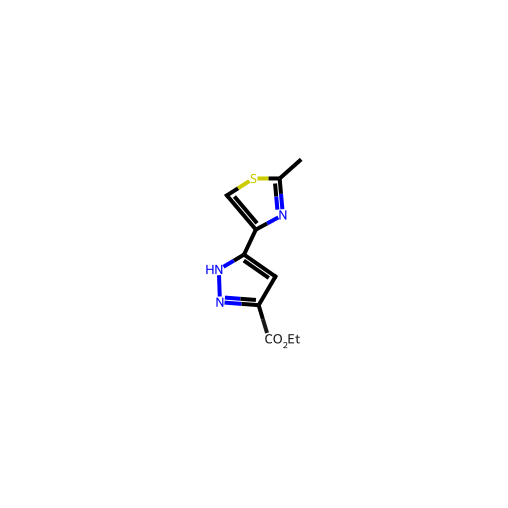 CCOC(=O)c1cc(-c2csc(C)n2)[nH]n1